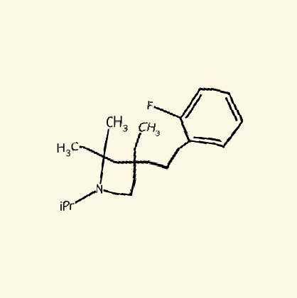 CC(C)N1CC(C)(Cc2ccccc2F)C1(C)C